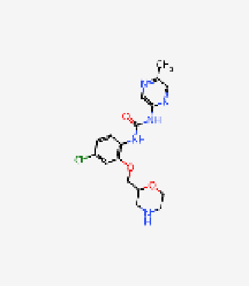 Cc1cnc(NC(=O)Nc2ccc(Cl)cc2OCC2CNCCO2)cn1